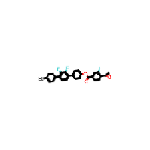 CCc1ccc(-c2ccc(C3CCC(OC(=O)c4ccc(C5CO5)c(F)c4)CC3)c(F)c2F)cc1